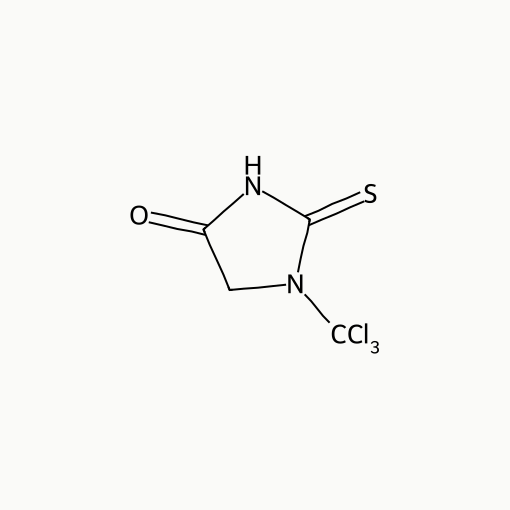 O=C1CN(C(Cl)(Cl)Cl)C(=S)N1